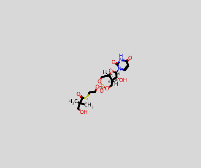 CC(C)(CO)C(=O)SCCO[P@@]1(=O)OC[C@H]2[C@@H](O)[C@H](n3ccc(=O)[nH]c3=O)O[C@@H]2CO1